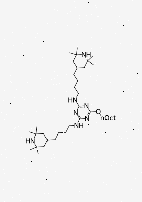 CCCCCCCCOc1nc(NCCCCC2CC(C)(C)NC(C)(C)C2)nc(NCCCCC2CC(C)(C)NC(C)(C)C2)n1